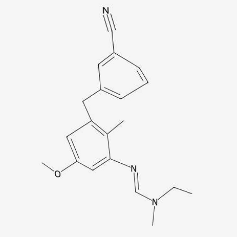 CCN(C)C=Nc1cc(OC)cc(Cc2cccc(C#N)c2)c1C